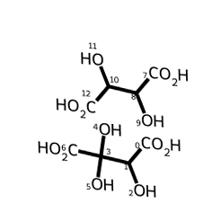 O=C(O)C(O)C(O)(O)C(=O)O.O=C(O)C(O)C(O)C(=O)O